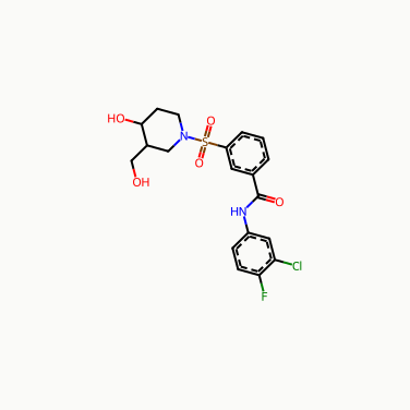 O=C(Nc1ccc(F)c(Cl)c1)c1cccc(S(=O)(=O)N2CCC(O)C(CO)C2)c1